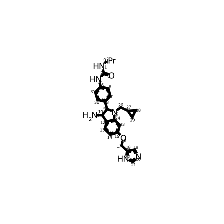 CC(C)NC(=O)Nc1ccc(C2C(N)c3ccc(OCc4cnc[nH]4)cc3N2CC2CC2)cc1